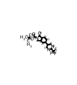 CC(C)(C)OC(=O)N1Cc2cc(-c3cnc(C(F)(F)F)nc3)ccc2C1=O